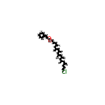 CC(CCCCl)CC(C)CC(C)CC(C)CC(C)CC(C)CC(C)CCCOOCCc1ccccc1